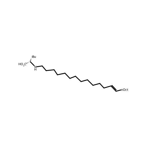 CCCCCCCC/C=C/CCCCCCCCCCCCN[C@H](C(=O)O)[C@@H](C)CC